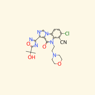 CC(C)(O)c1nc(-c2ncn3c2c(=O)n(CCN2CCOCC2)c2c(C#N)c(Cl)ccc23)no1